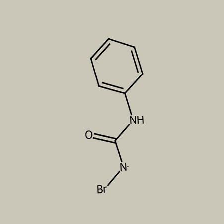 O=C([N]Br)Nc1ccccc1